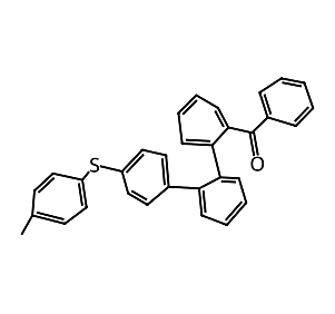 Cc1ccc(Sc2ccc(-c3ccccc3-c3ccccc3C(=O)c3ccccc3)cc2)cc1